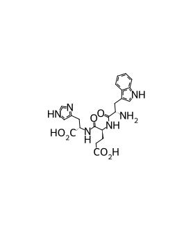 N[C@@H](Cc1c[nH]c2ccccc12)C(=O)N[C@@H](CCC(=O)O)C(=O)N[C@@H](Cc1c[nH]cn1)C(=O)O